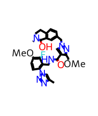 COCc1nn(Cc2ccc3c(c2)C(O)N(C)CC3)cc1C(=O)NCc1c(-n2cc(C)nn2)ccc(OC)c1F